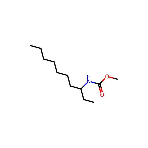 CCCCCCCC(CC)NC(=O)OC